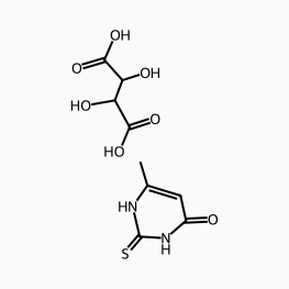 Cc1cc(=O)[nH]c(=S)[nH]1.O=C(O)C(O)C(O)C(=O)O